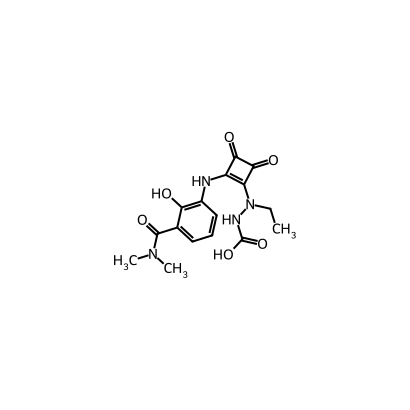 CCN(NC(=O)O)c1c(Nc2cccc(C(=O)N(C)C)c2O)c(=O)c1=O